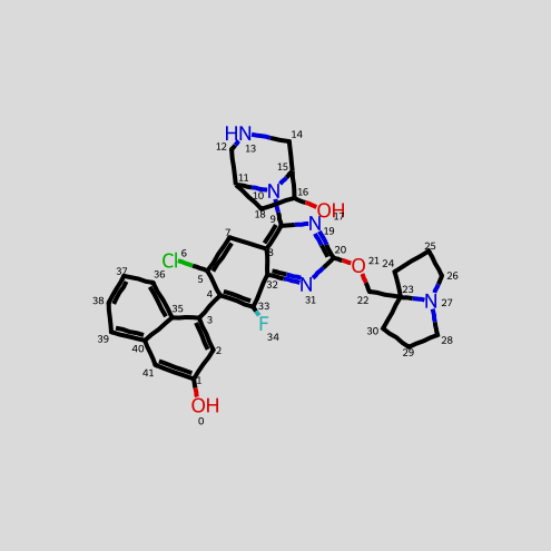 Oc1cc(-c2c(Cl)cc3c(N4C5CNCC4C(O)C5)nc(OCC45CCCN4CCC5)nc3c2F)c2ccccc2c1